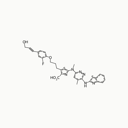 Cc1cc(N(C)c2nc(C(=O)O)c(CCCOc3ccc(C#CCO)cc3F)s2)nnc1Nc1nc2ccccc2s1